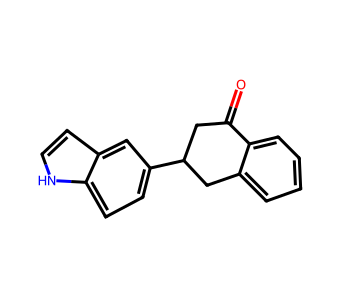 O=C1CC(c2ccc3[nH]ccc3c2)Cc2ccccc21